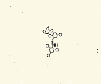 COC=C(OC1=CC=C(Cl)CC1=C=NNc1c(Cl)cc(Cl)cc1Cl)C(=O)OC